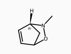 CN1OC2C=C[C@H]1C2